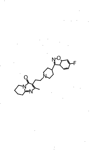 Cc1nc2n(c(=O)c1CCN1CCC(C3=NOC4C=C(F)C=CC34)CC1)CCCC2